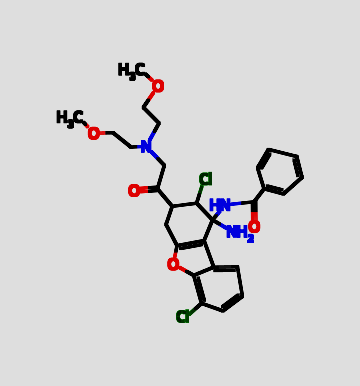 COCCN(CCOC)CC(=O)C1Cc2oc3c(Cl)cccc3c2C(N)(NC(=O)c2ccccc2)C1Cl